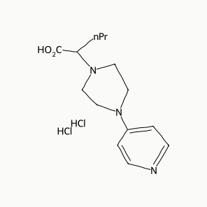 CCCC(C(=O)O)N1CCN(c2ccncc2)CC1.Cl.Cl